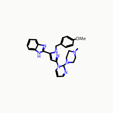 COc1ccc(Cn2nc(N3C=CC=NC3N3CCN(C)CC3)cc2-c2nc3ccccc3[nH]2)cc1